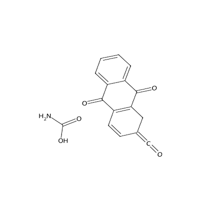 NC(=O)O.O=C=C1C=CC2=C(C1)C(=O)c1ccccc1C2=O